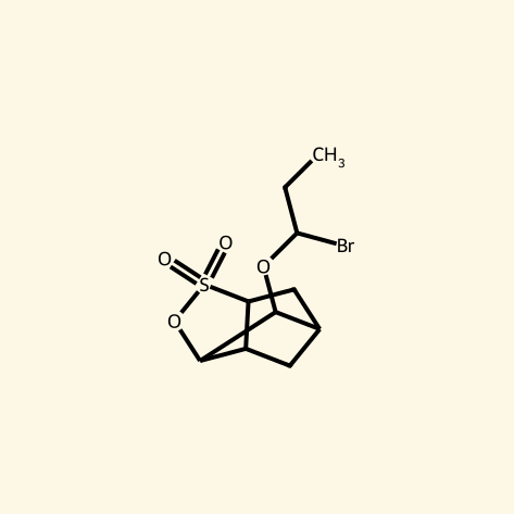 CCC(Br)OC1C2CC3C1OS(=O)(=O)C3C2